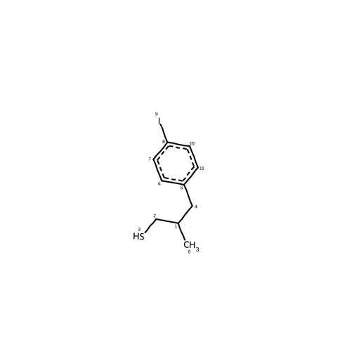 CC(CS)Cc1ccc(I)cc1